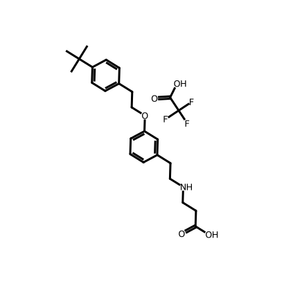 CC(C)(C)c1ccc(CCOc2cccc(CCNCCC(=O)O)c2)cc1.O=C(O)C(F)(F)F